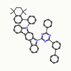 CC1(C)CCC(C)(C)c2c(-c3ccccc3-n3c4ccccc4c4cc5c6ccccc6n(-c6nc(-c7ccccc7)nc(-c7cccc(-c8ccccc8)c7)n6)c5cc43)cccc21